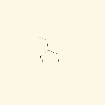 CCC([C]=S)C(C)C